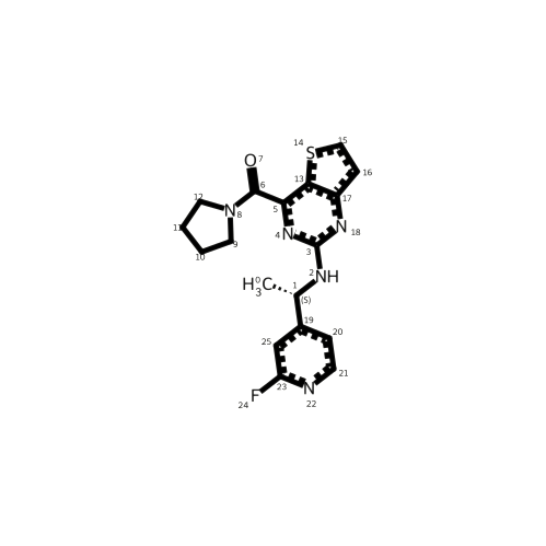 C[C@H](Nc1nc(C(=O)N2CCCC2)c2sccc2n1)c1ccnc(F)c1